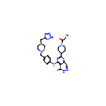 N#CCC(=O)N1CCC(c2nc(Nc3ccc(CN4CCC(Cc5nn[nH]n5)CC4)cc3)c3c(=O)[nH]ncc3n2)CC1